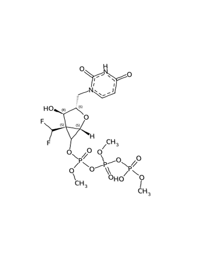 COP(=O)(O)OP(=O)(OC)OP(=O)(OC)OC1[C@H]2O[C@@H](Cn3ccc(=O)[nH]c3=O)[C@H](O)[C@@]12C(F)F